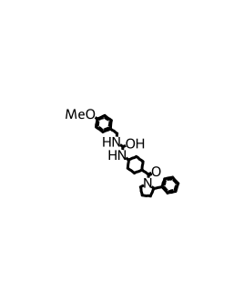 COc1ccc(CNC(O)NC2CCC(C(=O)N3CCCC3c3ccccc3)CC2)cc1